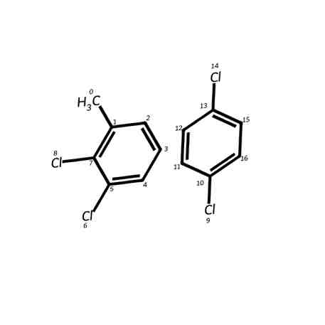 Cc1cccc(Cl)c1Cl.Clc1ccc(Cl)cc1